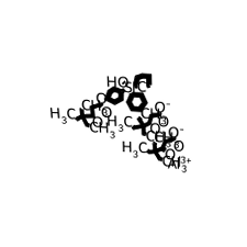 CCC(CC)(CC)C(=O)CC(=O)[O-].CCC(CC)(CC)C(=O)CC(=O)[O-].CCC(CC)(CC)C(=O)CC(=O)[O-].O[Si](c1ccccc1)(c1ccccc1)c1ccccc1.[Al+3]